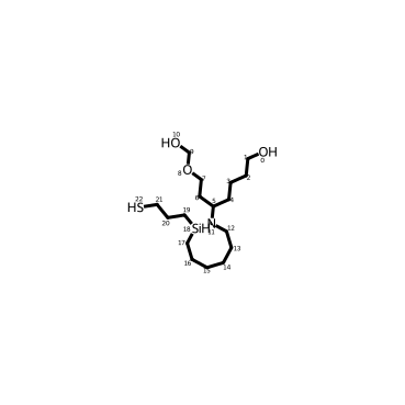 OCCCCC(CCOCO)N1CCCCCC[SiH]1CCCS